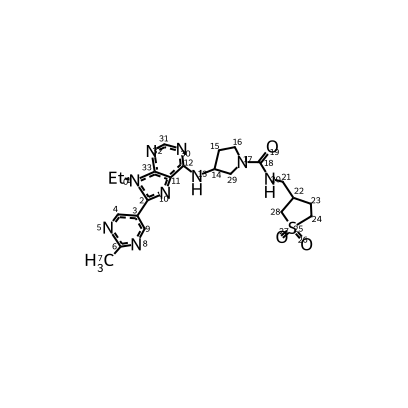 CCn1c(-c2cnc(C)nc2)nc2c(NC3CCN(C(=O)NCC4CCS(=O)(=O)C4)C3)ncnc21